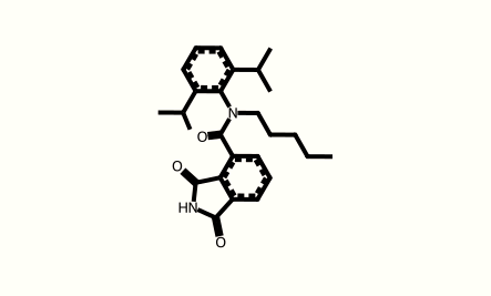 CCCCCN(C(=O)c1cccc2c1C(=O)NC2=O)c1c(C(C)C)cccc1C(C)C